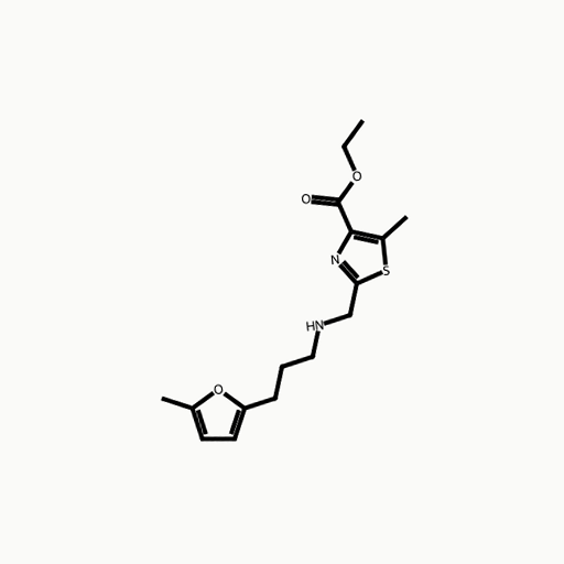 CCOC(=O)c1nc(CNCCCc2ccc(C)o2)sc1C